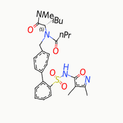 CCCC(=O)N(Cc1ccc(-c2ccccc2S(=O)(=O)Nc2onc(C)c2C)cc1)[C@H](C(=O)NC)C(C)CC